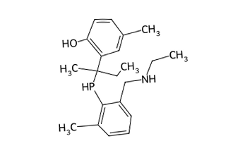 CCNCc1cccc(C)c1PC(C)(CC)c1cc(C)ccc1O